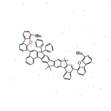 CC(C)(C)c1cccc2c1oc1c(-c3cc4c(c5ccccc35)-c3cc5c(cc3C4(C)C)-c3cc4c(cc3C5(C)C)-c3c(cc(-c5cccc6c5oc5c(C(C)(C)C)cccc56)c5ccccc35)C4(c3ccccc3)c3ccccc3)cccc12